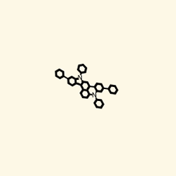 c1ccc(-c2ccc3c(c2)N(c2ccccc2)c2cccc4c2c-3cc2c4c3ccc(-c4ccccc4)cc3n2-c2ccccc2)cc1